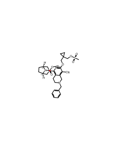 CC(C)(C)OC(=O)N1[C@@H]2CC[C@H]1CN(c1nc(OCC3(COS(C)(=O)=O)CC3)c(C#N)c3c1CCN(Cc1ccccc1)C3)C2